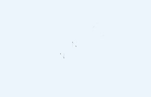 C1=C(N2CCN(CCc3ccccc3)CC2)CCCC1